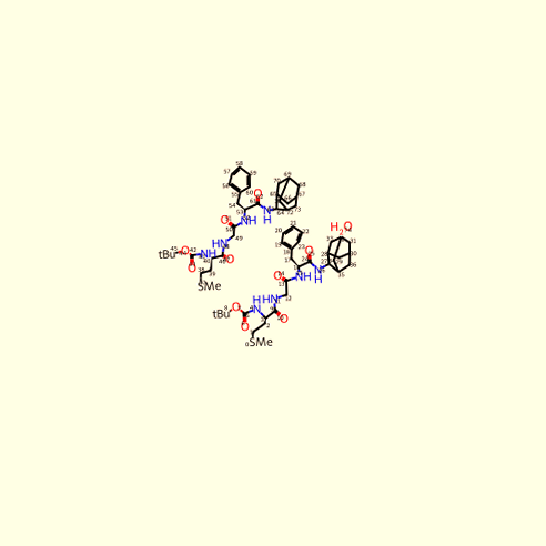 CSCC[C@@H](NC(=O)OC(C)(C)C)C(=O)NCC(=O)N[C@@H](Cc1ccccc1)C(=O)NC1C2CC3CC(C2)CC1C3.CSCC[C@@H](NC(=O)OC(C)(C)C)C(=O)NCC(=O)N[C@@H](Cc1ccccc1)C(=O)NC1C2CC3CC(C2)CC1C3.O